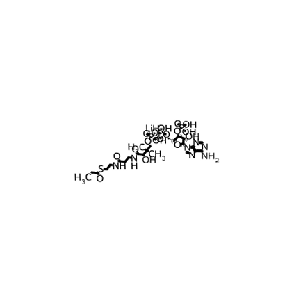 CCC(=O)SCCNC(=O)CCNC(=O)C(O)C(C)(C)COP(=O)(O)OP(=O)(O)OC[C@H]1O[C@@H](n2cnc3c(N)ncnc32)[C@H](O)[C@@H]1OP(=O)(O)O.[LiH]